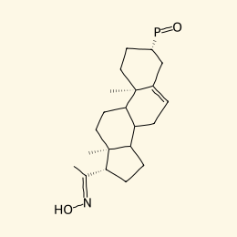 C/C(=N\O)[C@H]1CCC2C3CC=C4C[C@@H](P=O)CC[C@]4(C)C3CC[C@@]21C